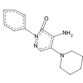 Nc1c(N2CCCCC2)cnn(-c2ccccc2)c1=O